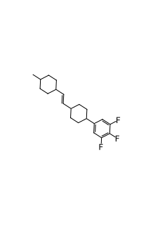 CC1CCC(C=CC2CCC(c3cc(F)c(F)c(F)c3)CC2)CC1